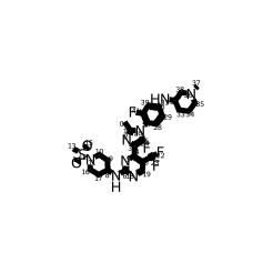 Cc1nc(-c2nc(NC3CCN(S(C)(=O)=O)CC3)ncc2C(F)(F)F)cn1-c1ccc(NC2CCCN(C)C2)cc1F